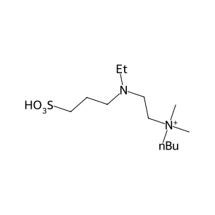 CCCC[N+](C)(C)CCN(CC)CCCS(=O)(=O)O